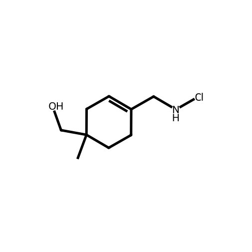 CC1(CO)CC=C(CNCl)CC1